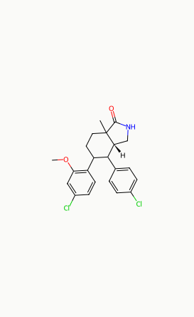 COc1cc(Cl)ccc1C1CCC2(C)C(=O)NC[C@@H]2C1c1ccc(Cl)cc1